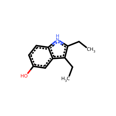 CCc1[nH]c2ccc(O)cc2c1CC